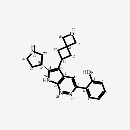 Oc1ccccc1-c1cc2c(C3CC4(COC4)C3)c([C@@H]3CCNC3)[nH]c2nn1